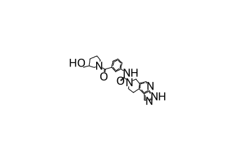 O=C(Nc1cccc(C(=O)N2CCCC(CO)C2)c1)N1CCc2c(cnc3[nH]ncc23)C1